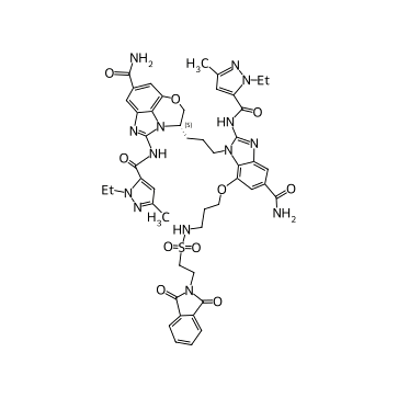 CCn1nc(C)cc1C(=O)Nc1nc2cc(C(N)=O)cc(OCCCNS(=O)(=O)CCN3C(=O)c4ccccc4C3=O)c2n1CCC[C@H]1COc2cc(C(N)=O)cc3nc(NC(=O)c4cc(C)nn4CC)n1c23